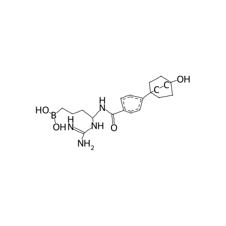 N=C(N)NC(CCCB(O)O)NC(=O)c1ccc(C23CCC(O)(CC2)CC3)cc1